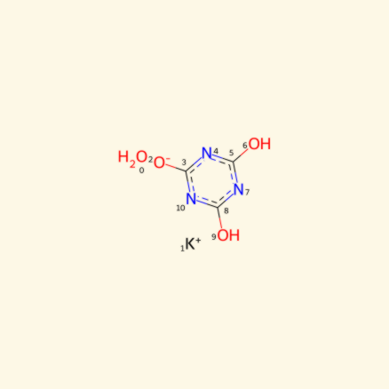 O.[K+].[O-]c1nc(O)nc(O)n1